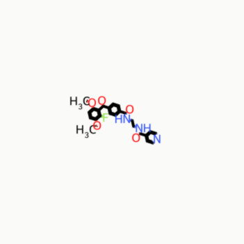 COc1ccc(OC)c(C(=O)c2ccc(C(=O)NCCNC(=O)c3ccncc3)cc2)c1F